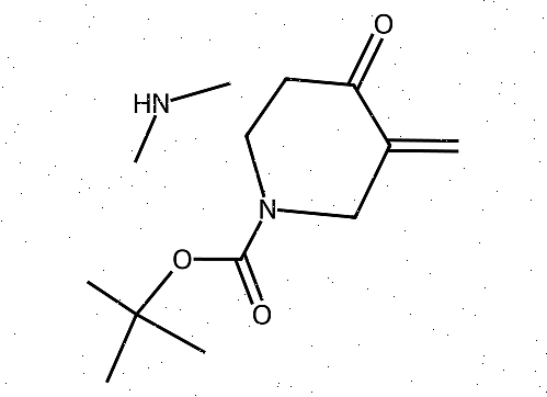 C=C1CN(C(=O)OC(C)(C)C)CCC1=O.CNC